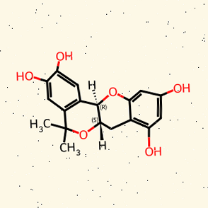 CC1(C)O[C@H]2Cc3c(O)cc(O)cc3O[C@@H]2c2cc(O)c(O)cc21